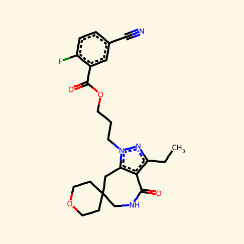 CCc1nn(CCCOC(=O)c2cc(C#N)ccc2F)c2c1C(=O)NCC1(CCOCC1)C2